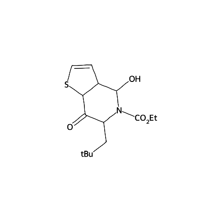 CCOC(=O)N1C(CC(C)(C)C)C(=O)C2SC=CC2C1O